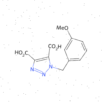 COc1cccc(Cn2nnc(C(=O)O)c2C(=O)O)c1